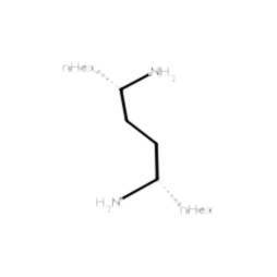 CCCCCC[C@H](N)CC[C@@H](N)CCCCCC